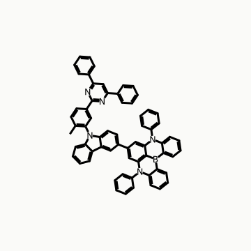 Cc1ccc(-c2nc(-c3ccccc3)cc(-c3ccccc3)n2)cc1-n1c2ccccc2c2cc(-c3cc4c5c(c3)N(c3ccccc3)c3ccccc3B5c3ccccc3N4c3ccccc3)ccc21